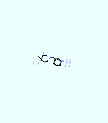 CC(C)(C)C1(CC#N)CCN(Cc2cccc(NS(=O)(=O)C(F)(F)F)c2)CC1